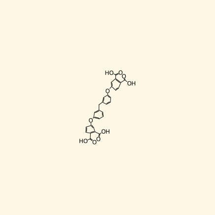 O=C(O)c1ccc(Oc2cccc(Cc3cccc(Oc4ccc(C(=O)O)c(C(=O)O)c4)c3)c2)cc1C(=O)O